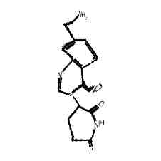 NCc1ccc2c(=O)n(C3CCC(=O)NC3=O)cnc2c1